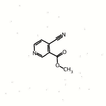 COC(=O)c1cnccc1C#N